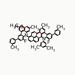 Cc1cccc(-c2cc(F)c(N(c3cc(C)cc(C)c3)c3ccc4ccc5c(N(c6cc(C)cc(C)c6)c6c(F)cc(-c7cccc(C)c7)cc6-c6cccc(C)c6)ccc6ccc3c4c65)c(-c3cccc(C)c3)c2)c1